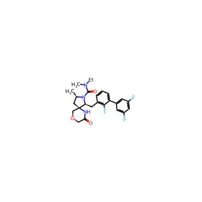 CCN(C)C(=O)N1[C@H](C)C[C@@]2(COCC(=O)N2)[C@@H]1Cc1cccc(-c2cc(F)cc(F)c2)c1F